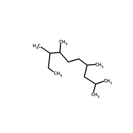 CCC(C)C(C)CCC(C)CC(C)C